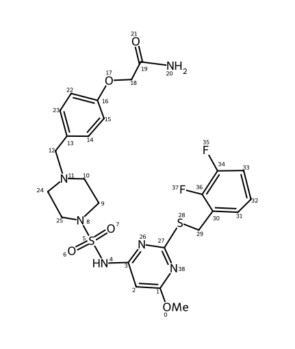 COc1cc(NS(=O)(=O)N2CCN(Cc3ccc(OCC(N)=O)cc3)CC2)nc(SCc2cccc(F)c2F)n1